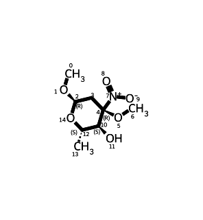 CO[C@H]1C[C@](OC)([N+](=O)[O-])[C@@H](O)[C@H](C)O1